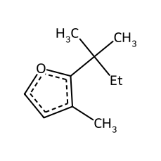 CCC(C)(C)c1occc1C